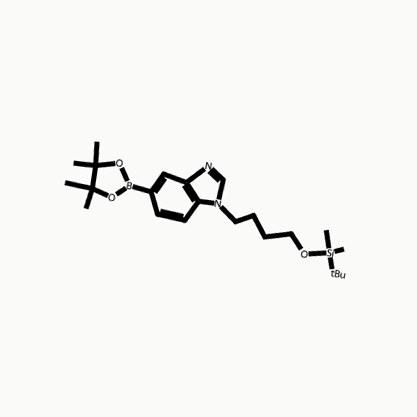 CC1(C)OB(c2ccc3c(c2)ncn3CCCCO[Si](C)(C)C(C)(C)C)OC1(C)C